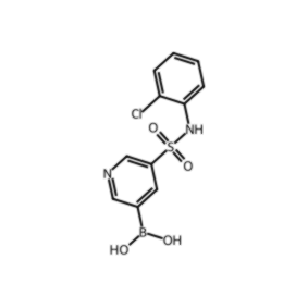 O=S(=O)(Nc1ccccc1Cl)c1cncc(B(O)O)c1